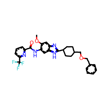 COc1cc2nc(C3CCC(COCc4ccccc4)CC3)[nH]c2cc1NC(=O)c1cccc(C(F)(F)F)n1